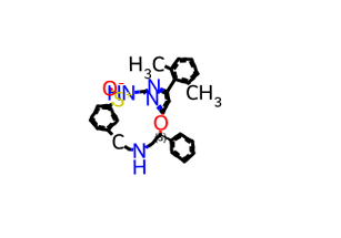 Cc1cccc(C)c1-c1cc2nc(n1)N[S+]([O-])c1cccc(c1)CCNC[C@H](c1ccccc1)O2